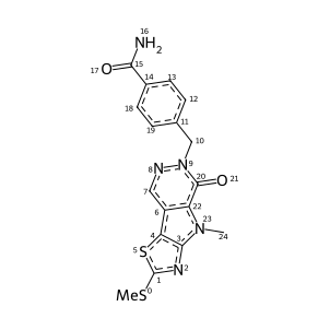 CSc1nc2c(s1)c1cnn(Cc3ccc(C(N)=O)cc3)c(=O)c1n2C